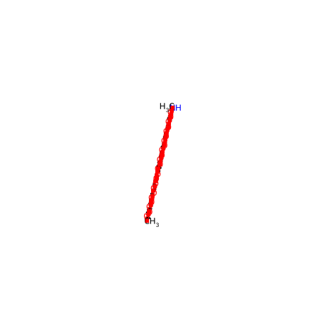 CCCOCCOCCOCCOCCOCCOCCOCCOCCOCCOCCOCCOCCOCCOCCOCCOCCOCCOCCOCCOCCOCCOCCOCCNC